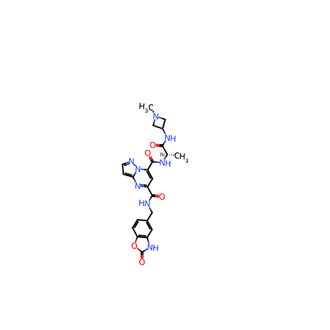 C[C@H](NC(=O)c1cc(C(=O)NCc2ccc3oc(=O)[nH]c3c2)nc2ccnn12)C(=O)NC1CN(C)C1